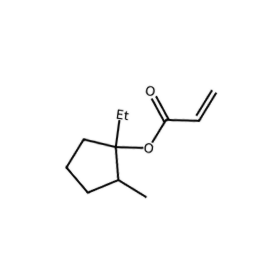 C=CC(=O)OC1(CC)CCCC1C